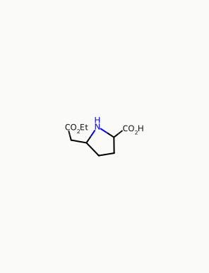 CCOC(=O)CC1CCC(C(=O)O)N1